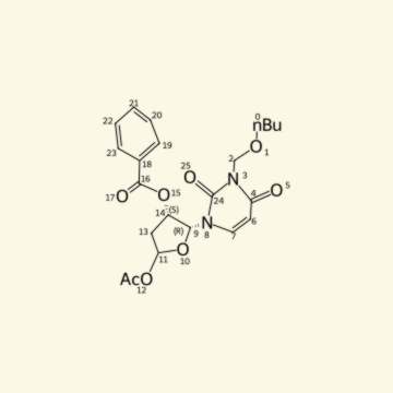 CCCCOCn1c(=O)ccn([C@@H]2OC(OC(C)=O)C[C@@H]2OC(=O)c2ccccc2)c1=O